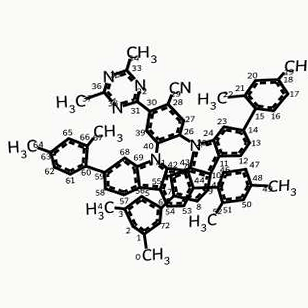 Cc1cc(C)cc(-c2ccc3c4ccc(-c5ccc(C)cc5C)cc4n(-c4cc(C#N)c(-c5nc(C)nc(C)n5)cc4-n4c5cc(-c6ccc(C)cc6C)ccc5c5ccc(-c6ccc(C)cc6C)cc54)c3c2)c1